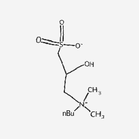 CCCC[N+](C)(C)CC(O)CS(=O)(=O)[O-]